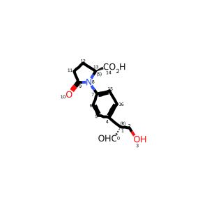 O=C[C@@H](CO)c1ccc(N2C(=O)CC[C@H]2C(=O)O)cc1